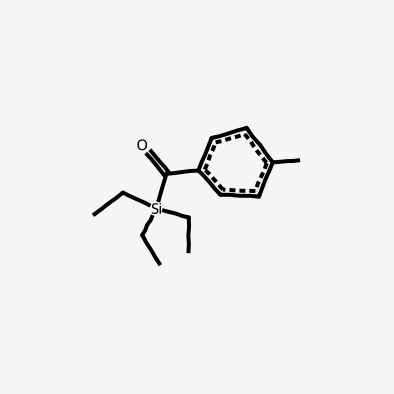 CC[Si](CC)(CC)C(=O)c1ccc(C)cc1